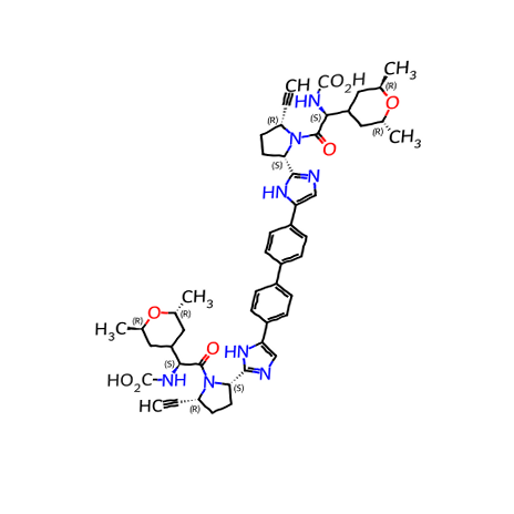 C#C[C@H]1CC[C@@H](c2ncc(-c3ccc(-c4ccc(-c5cnc([C@@H]6CC[C@H](C#C)N6C(=O)[C@@H](NC(=O)O)C6C[C@@H](C)O[C@H](C)C6)[nH]5)cc4)cc3)[nH]2)N1C(=O)[C@@H](NC(=O)O)C1C[C@@H](C)O[C@H](C)C1